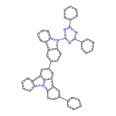 c1ccc(-c2ccc3c(c2)c2cc(-c4ccc5c(c4)c4ccccc4n5-c4nc(-c5ccccc5)nc(-c5ccccc5)n4)cc4c5ccccc5n3c42)cc1